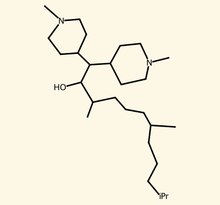 CC(C)CCCC(C)CCCC(C)C(O)C(C1CCN(C)CC1)C1CCN(C)CC1